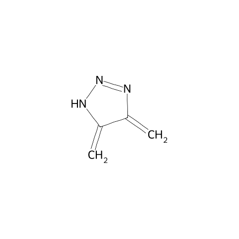 C=c1nn[nH]c1=C